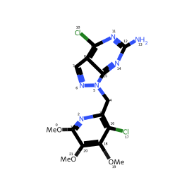 COc1nc(Cn2ncc3c(Cl)nc(N)nc32)c(Cl)c(OC)c1OC